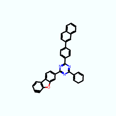 c1ccc2c(c#1)oc1cc(-c3nc(C4=CCCC=C4)nc(-c4ccc(-c5ccc6ccccc6c5)cc4)n3)ccc12